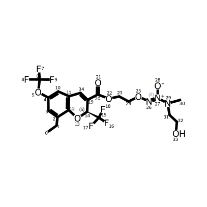 CCc1cc(OC(F)(F)F)cc2c1O[C@H](C(F)(F)F)C(C(=O)OCCO/N=[N+](\[O-])N(C)CCO)=C2